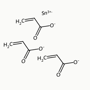 C=CC(=O)[O-].C=CC(=O)[O-].C=CC(=O)[O-].[Sn+3]